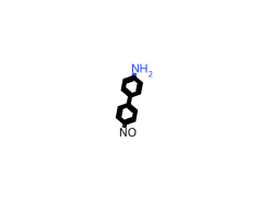 Nc1ccc(-c2ccc(N=O)cc2)cc1